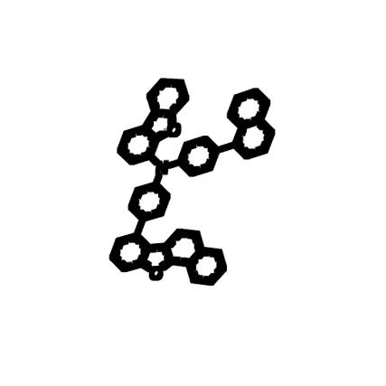 c1ccc2c(-c3ccc(N(c4ccc(-c5cccc6oc7c8ccccc8ccc7c56)cc4)c4cccc5c4oc4ccccc45)cc3)cccc2c1